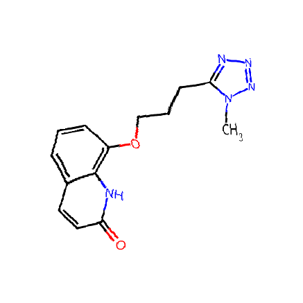 Cn1nnnc1CCCOc1cccc2ccc(=O)[nH]c12